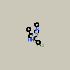 Clc1ccc(C2=C(CN3CCN(c4ccccc4)CC3)N3C=C(c4ccccc4)C=CC3N2)cc1